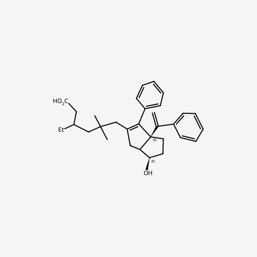 C=C(c1ccccc1)[C@@]12CC[C@@H](O)C1CC(CC(C)(C)CC(CC)CC(=O)O)=C2c1ccccc1